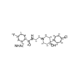 CC(=O)Nc1cc(F)ccc1C(=O)NCCN1CCC(O)(c2ccc(Cl)cc2)CC1